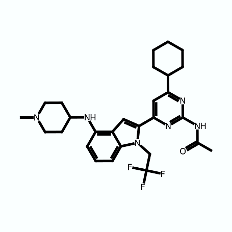 CC(=O)Nc1nc(-c2cc3c(NC4CCN(C)CC4)cccc3n2CC(F)(F)F)cc(C2CCCCC2)n1